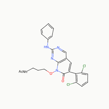 CC(=O)NCCCOn1c(=O)c(-c2c(Cl)cccc2Cl)cc2cnc(Nc3ccccc3)nc21